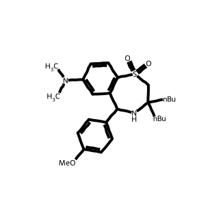 CCCCC1(CCCC)CS(=O)(=O)c2ccc(N(C)C)cc2C(c2ccc(OC)cc2)N1